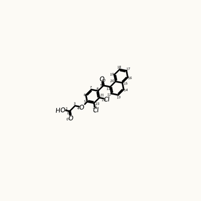 O=C(O)COc1ccc(C(=O)c2cccc3ccccc23)c(Cl)c1Cl